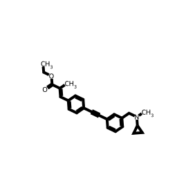 CCOC(=O)/C(C)=C/c1ccc(C#Cc2cccc(CN(C)C3CC3)c2)cc1